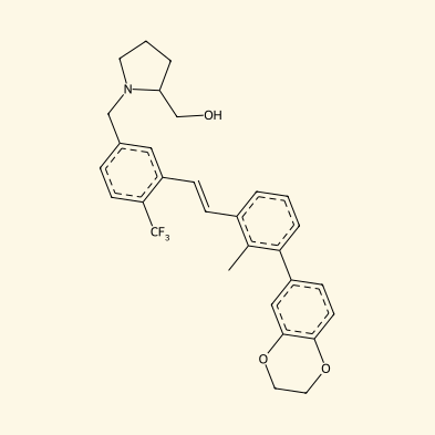 Cc1c(/C=C/c2cc(CN3CCCC3CO)ccc2C(F)(F)F)cccc1-c1ccc2c(c1)OCCO2